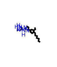 CCCCCCCc1ccc(-c2ccnc(N/C(C=N)=C/NC)n2)cc1CC